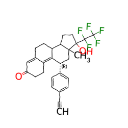 C#Cc1ccc([C@H]2CC3(C)C(CCC3(O)C(F)(F)C(F)(F)F)C3CCC4=CC(=O)CCC4=C32)cc1